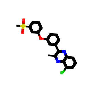 Cc1nc2c(Cl)cccc2nc1-c1cccc(Oc2cccc(S(C)(=O)=O)c2)c1